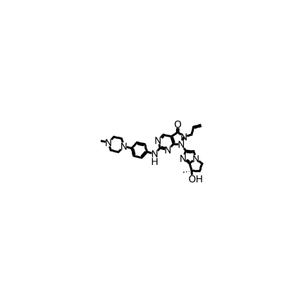 C=CCn1c(=O)c2cnc(Nc3ccc(N4CCN(C)CC4)cc3)nc2n1-c1cn2c(n1)[C@](C)(O)CC2